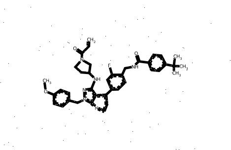 C=CC(=O)N1CCC(Nc2nn(Cc3ccc(OC)cc3)c3nccc(-c4ccc(CNC(=O)c5ccc(C(C)(C)C)cc5)c(F)c4)c23)C1